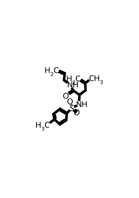 C=CCNC(=O)C(CC(=C)C)NS(=O)(=O)c1ccc(C)cc1